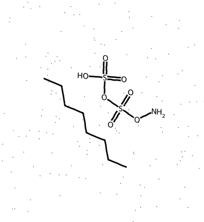 CCCCCCCC.NOS(=O)(=O)OS(=O)(=O)O